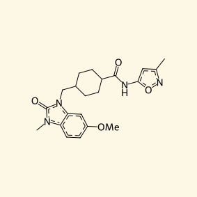 COc1ccc2c(c1)n(CC1CCC(C(=O)Nc3cc(C)no3)CC1)c(=O)n2C